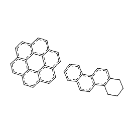 c1cc2ccc3ccc4ccc5ccc6ccc1c1c2c3c4c5c61.c1ccc2c(c1)ccc1c3c(ccc12)CCCC3